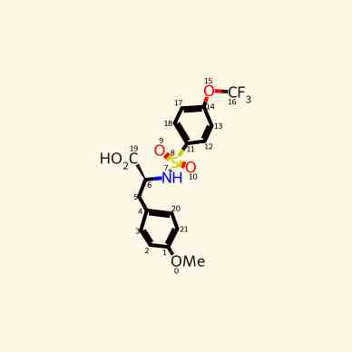 COc1ccc(C[C@H](NS(=O)(=O)c2ccc(OC(F)(F)F)cc2)C(=O)O)cc1